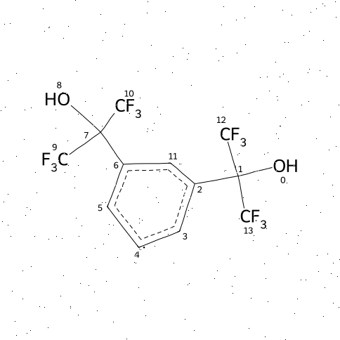 OC(c1c[c]cc(C(O)(C(F)(F)F)C(F)(F)F)c1)(C(F)(F)F)C(F)(F)F